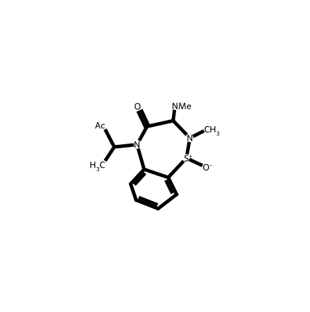 CNC1C(=O)N(C(C)C(C)=O)c2ccccc2[S+]([O-])N1C